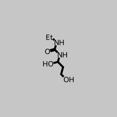 CCNC(=O)NC(O)CCO